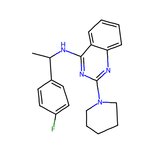 CC(Nc1nc(N2CCCCC2)nc2ccccc12)c1ccc(F)cc1